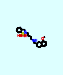 COc1cccc2c1CC(CNCCCCN1Cc3ccccc3S1(O)O)CC2